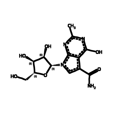 Cc1nc(O)c2c(C(N)=O)cn([C@@H]3O[C@H](CO)[C@@H](O)[C@H]3O)c2n1